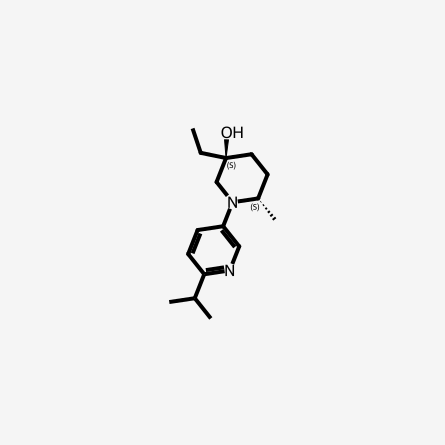 CC[C@]1(O)CC[C@H](C)N(c2ccc(C(C)C)nc2)C1